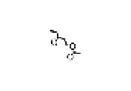 C=CC(=O)CCOC(C)=O